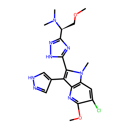 COC[C@@H](c1n[nH]c(-c2c(-c3cn[nH]c3)c3nc(OC)c(Cl)cc3n2C)n1)N(C)C